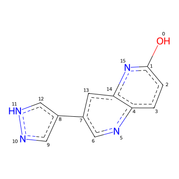 Oc1ccc2ncc(-c3cn[nH]c3)cc2n1